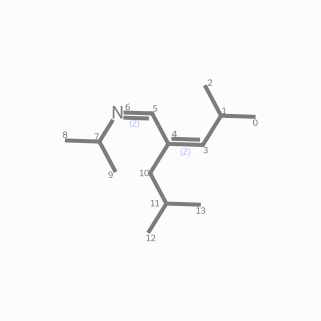 CC(C)/C=C(\C=N/C(C)C)CC(C)C